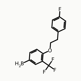 Bc1ccc(OCCc2ccc(F)cc2)c(C(F)(F)F)c1